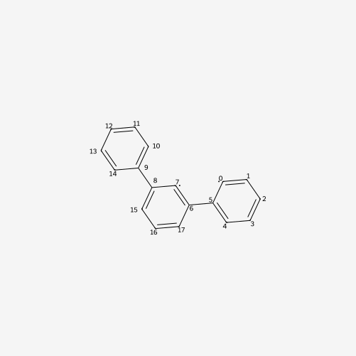 [c]1ccccc1-c1[c]c(-c2ccccc2)ccc1